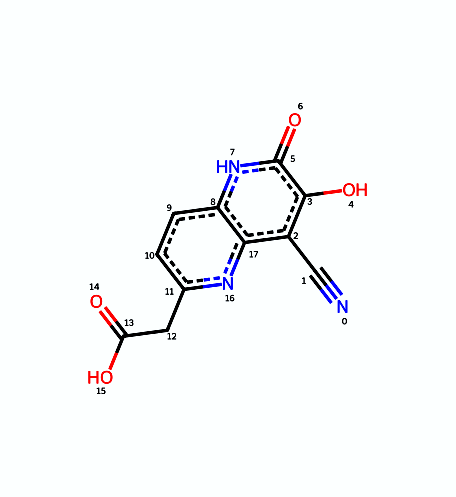 N#Cc1c(O)c(=O)[nH]c2ccc(CC(=O)O)nc12